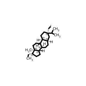 CC[C@H]1CC[C@H]2[C@@H]3CC[C@@H]4C[C@](CI)(C(C)C)CC[C@@H]4[C@H]3CC[C@]12C